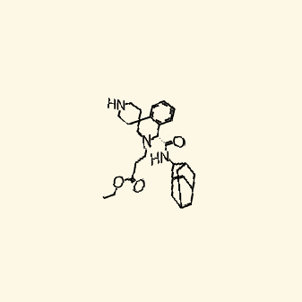 CCOC(=O)CCN1CC2(CCNCC2)c2ccccc2[C@@H]1C(=O)NC1C2CC3CC(C2)CC1C3